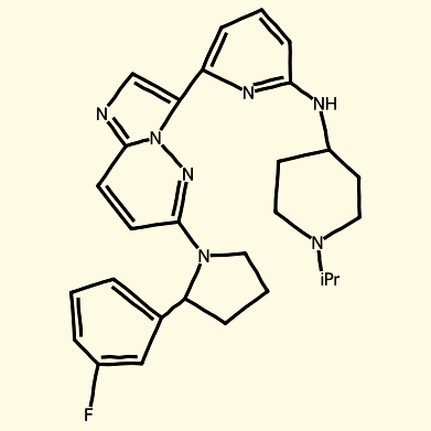 CC(C)N1CCC(Nc2cccc(-c3cnc4ccc(N5CCCC5c5cccc(F)c5)nn34)n2)CC1